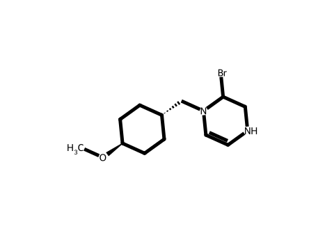 CO[C@H]1CC[C@H](CN2C=CNCC2Br)CC1